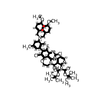 COc1ccc(CN(Cc2ccc(OC)cc2)c2cc(C)cc(-c3c(Cl)c4c5c(nc(Cl)nc5c3F)N(C(C)c3cccnc3N(C(=O)OC(C)(C)C)C(=O)OC(C)(C)C)CCO4)c2F)cc1